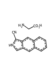 N#Cc1[nH]cc2cc3ccccc3cc12.NCC(=O)O